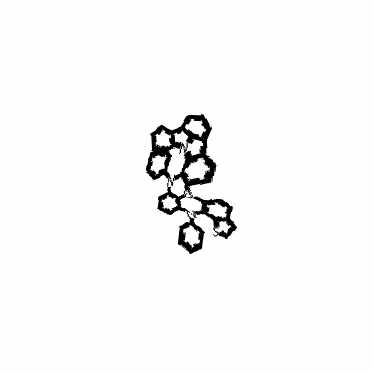 c1ccc(N2c3cccc4c3B(c3ccc5ccsc5c32)c2ccc3c5cccc6c7ccccc7n(c3c2N4c2ccccc2)c65)cc1